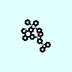 c1ccc(-n2c3ccccc3n(-c3ccccc3)c3cc4c(cc32)c2cc(-n3c5ccccc5c5cc(-n6c7ccccc7c7ccccc76)ccc53)ccc2c2ccccc2c2cccnc24)cc1